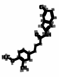 COc1ccc(CCCC(=O)Nc2nc3ccc(Cl)cc3s2)cc1C